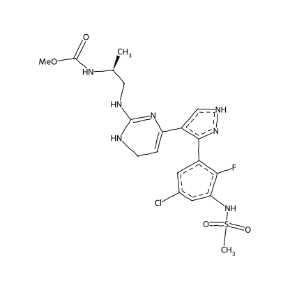 COC(=O)N[C@@H](C)CNC1=NC(c2c[nH]nc2-c2cc(Cl)cc(NS(C)(=O)=O)c2F)=CCN1